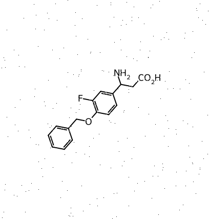 NC(CC(=O)O)c1ccc(OCc2ccccc2)c(F)c1